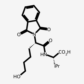 CC(C)[C@H](NC(=O)[C@H](CCCCO)N1C(=O)c2ccccc2C1=O)C(=O)O